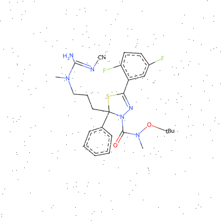 CN(CCCC1(c2ccccc2)SC(c2cc(F)ccc2F)=NN1C(=O)N(C)OC(C)(C)C)C(N)=NC#N